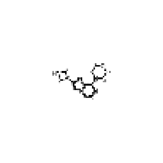 c1cn2cc(C3CNC3)nc2c(N2CCOCC2)n1